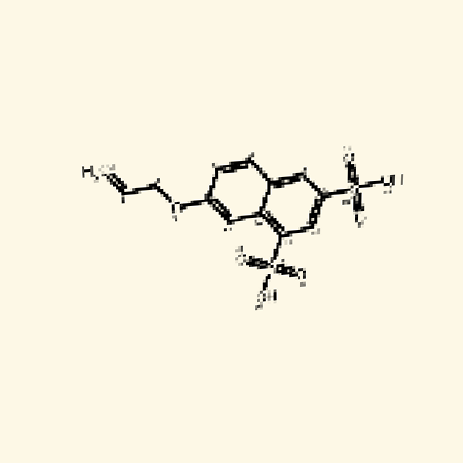 C=CCOc1ccc2cc(S(=O)(=O)O)cc(S(=O)(=O)O)c2c1